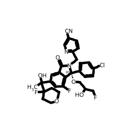 CC(O)(c1cc(F)c2c(c1)C(=O)N(Cc1ccc(C#N)cn1)[C@@]2(OCC(O)CF)c1ccc(Cl)cc1)C1(F)CCOCC1